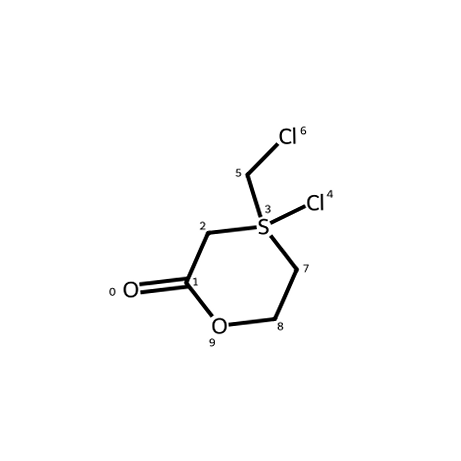 O=C1CS(Cl)(CCl)CCO1